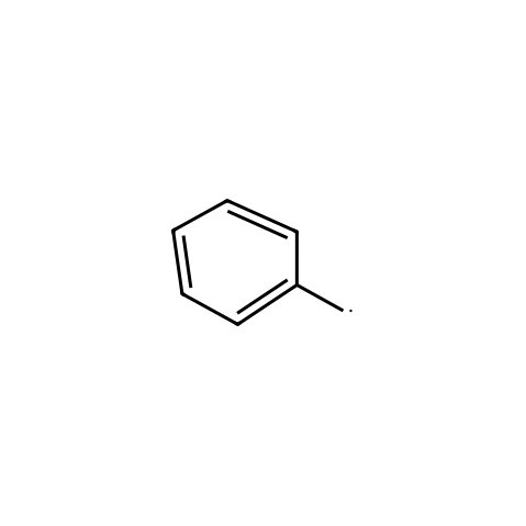 [CH2]c1ccccc1